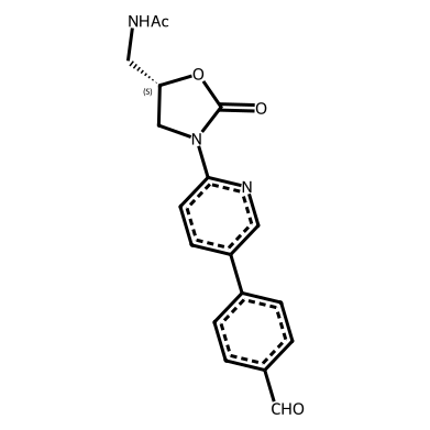 CC(=O)NC[C@H]1CN(c2ccc(-c3ccc(C=O)cc3)cn2)C(=O)O1